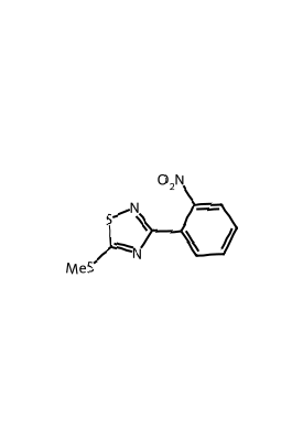 CSc1nc(-c2ccccc2[N+](=O)[O-])ns1